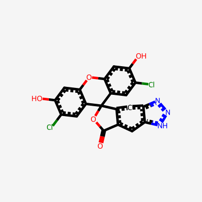 O=C1OC2(c3cc(Cl)c(O)cc3Oc3cc(O)c(Cl)cc32)c2cc3nn[nH]c3cc21